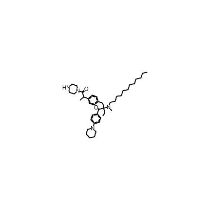 CCCCCCCCCCCCN(C)C(CC)(Cc1ccc(C(C)C(=O)N2CCNCC2)cc1)C(=O)c1ccc(N2CCCCC2)cc1